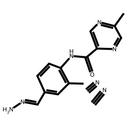 C#N.C#N.Cc1cnc(C(=O)Nc2ccc(C=NN)cc2C)cn1